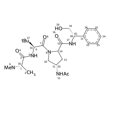 CN[C@@H](C)C(=O)N[C@H](C(=O)N1C[C@@H](NC(C)=O)CC1C(=O)N[C@H](CO)c1ccccc1)C(C)(C)C